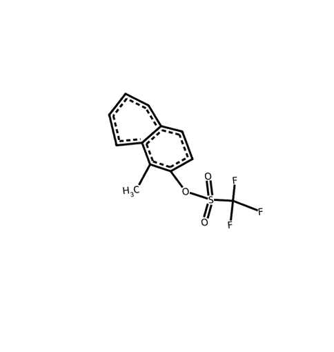 Cc1c(OS(=O)(=O)C(F)(F)F)ccc2ccccc12